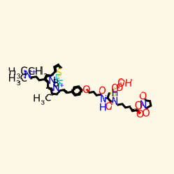 CC1=CC(/C=C/c2ccc(OCCCC(=O)NC(CSOOO)C(=O)NCCCCCC(=O)ON3C(=O)CCC3=O)cc2)=[N+]2C1=Cc1c(CCC[N+](C)(C)C)cc(-c3cccs3)n1[B-]2(F)F